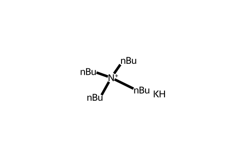 CCCC[N+](CCCC)(CCCC)CCCC.[KH]